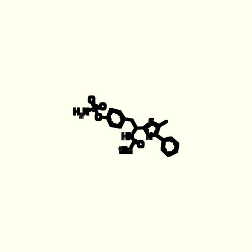 Cc1sc(C(Cc2ccc(OS(N)(=O)=O)cc2)NC(=O)C(C)(C)C)nc1-c1ccccc1